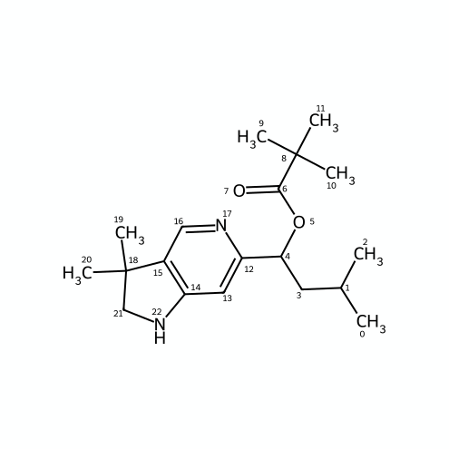 CC(C)CC(OC(=O)C(C)(C)C)c1cc2c(cn1)C(C)(C)CN2